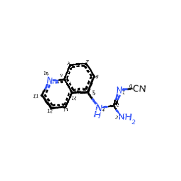 N#CN=C(N)Nc1cccc2ncccc12